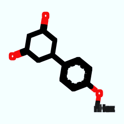 CCCCCCOc1ccc(C2CC(=O)CC(=O)C2)cc1